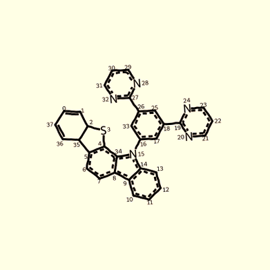 C1=CC2Sc3c(ccc4c5ccccc5n(-c5cc(-c6ncccn6)cc(-c6ncccn6)c5)c34)C2C=C1